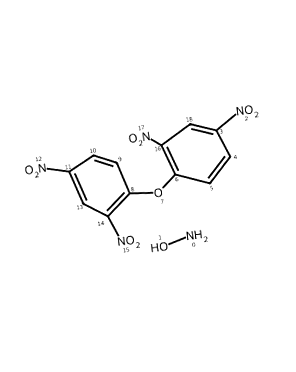 NO.O=[N+]([O-])c1ccc(Oc2ccc([N+](=O)[O-])cc2[N+](=O)[O-])c([N+](=O)[O-])c1